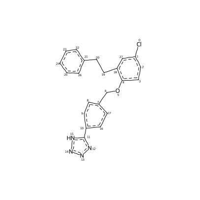 Clc1ccc(OCc2ccc(-c3nnn[nH]3)cc2)c(CCc2ccccc2)c1